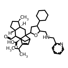 CC(C)C1=CC2CC3(C=O)[C@@H]4CC[C@@H](C)[C@H]4CC2(C2CC(C4CCCCC4)C(CNCc4ccccn4)O2)[C@]13C(=O)O